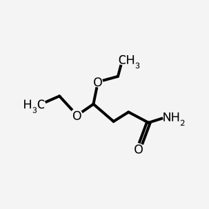 CCOC(CCC(N)=O)OCC